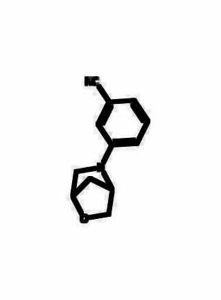 N#Cc1cccc(N2CC3CC2CO3)c1